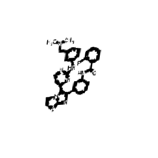 CN(C)Cc1cccc(Nc2nccc(-c3c(-c4cccc(NC(=O)c5ccccc5F)c4)nc4sccn34)n2)c1